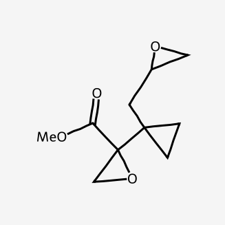 COC(=O)C1(C2(CC3CO3)CC2)CO1